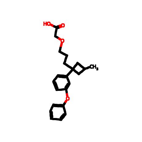 CC1CC(CCCOCC(=O)O)(c2cccc(Oc3ccccc3)c2)C1